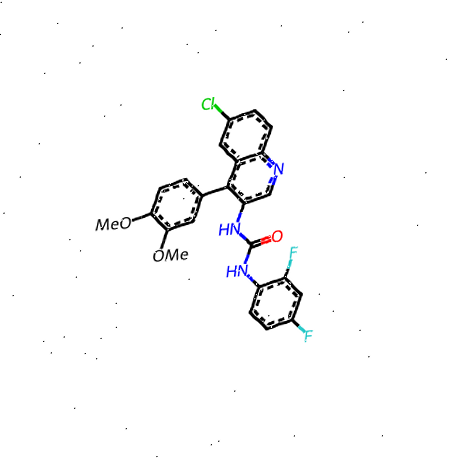 COc1ccc(-c2c(NC(=O)Nc3ccc(F)cc3F)cnc3ccc(Cl)cc23)cc1OC